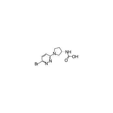 O=C(O)N[C@H]1CCN(c2ccc(Br)nn2)C1